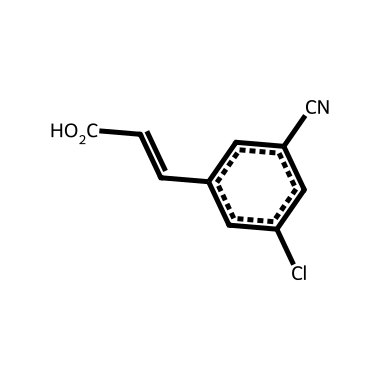 N#Cc1cc(Cl)cc(C=CC(=O)O)c1